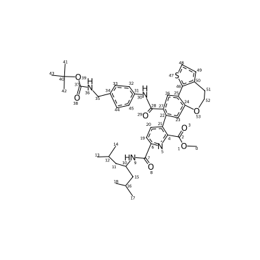 COC(=O)c1nc(C(=O)NC(CC(C)C)CC(C)C)ccc1-c1cc2c(cc1C(=O)Nc1ccc(CNC(=O)OC(C)(C)C)cc1)-c1sccc1CCO2